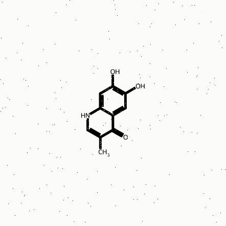 Cc1c[nH]c2cc(O)c(O)cc2c1=O